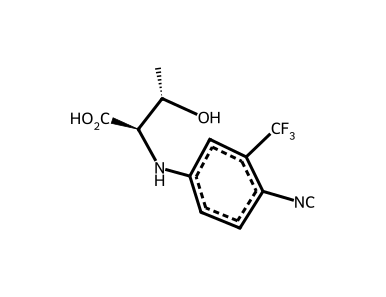 [C-]#[N+]c1ccc(N[C@@H](C(=O)O)[C@H](C)O)cc1C(F)(F)F